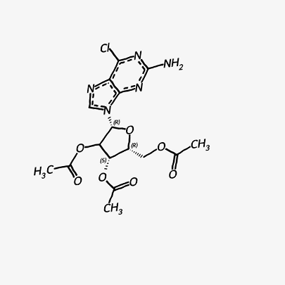 CC(=O)OC[C@H]1O[C@@H](n2cnc3c(Cl)nc(N)nc32)C(OC(C)=O)[C@H]1OC(C)=O